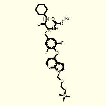 CC(C)(C)OC(=O)N[C@H](Cc1cc(F)c(Oc2ccnc3c2ccn3COCCS(C)(C)C)c(F)c1)C(=O)NC1CCCCC1